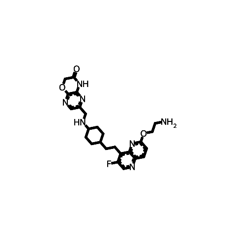 NCCOc1ccc2ncc(F)c(CCC3CCC(NCc4cnc5c(n4)NC(=O)CO5)CC3)c2n1